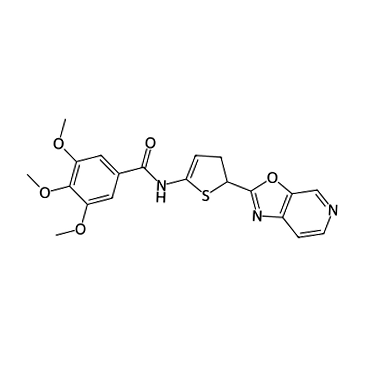 COc1cc(C(=O)NC2=CCC(c3nc4ccncc4o3)S2)cc(OC)c1OC